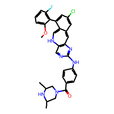 COc1cccc(F)c1-c1cc(Cl)cc2c1=CNc1cnc(Nc3ccc(C(=O)N4CC(C)NC(C)C4)cc3)nc1C=2